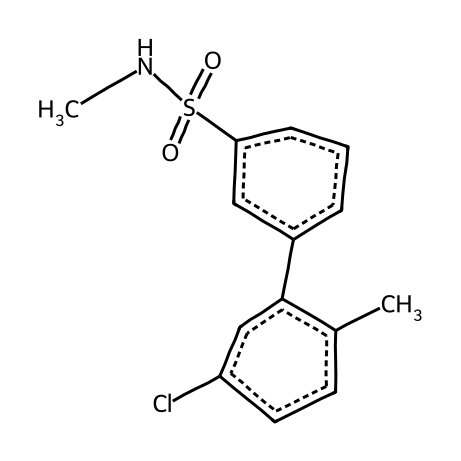 CNS(=O)(=O)c1cccc(-c2cc(Cl)ccc2C)c1